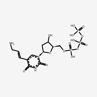 NC/C=C/c1cn([C@H]2CC(O)[C@@H](COP(=O)(O)OP(=O)(O)OP(=O)(O)O)O2)c(=O)[nH]c1=O